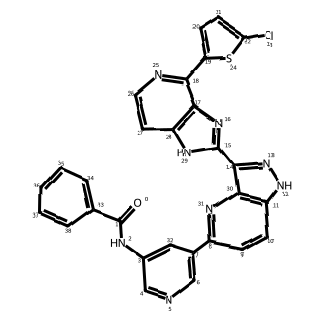 O=C(Nc1cncc(-c2ccc3[nH]nc(-c4nc5c(-c6ccc(Cl)s6)nccc5[nH]4)c3n2)c1)c1ccccc1